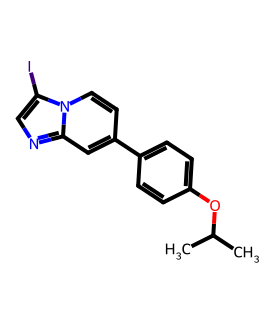 CC(C)Oc1ccc(-c2ccn3c(I)cnc3c2)cc1